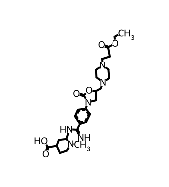 CCOC(=O)CCN1CCN(CC2CN(c3ccc(C(=N)NC4CC(C(=O)O)CCN4C)cc3)C(=O)O2)CC1